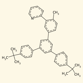 Cc1ccc(-c2cc(-c3ccc(C(C)(C)C)cc3)cc(-c3ccc(C(C)(C)C)cc3)c2)cc1-c1ccccn1